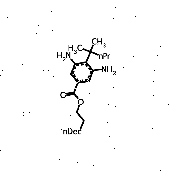 CCCCCCCCCCCCOC(=O)c1cc(N)c(C(C)(C)CCC)c(N)c1